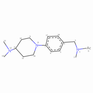 CC(=O)N(C)Cc1ccc(N2CCC(N(C)C)CC2)cc1